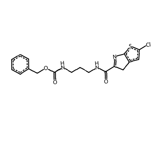 O=C(NCCCNC(=O)C1=Nc2sc(Cl)cc2C1)OCc1ccccc1